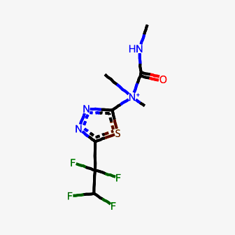 CNC(=O)[N+](C)(C)c1nnc(C(F)(F)C(F)F)s1